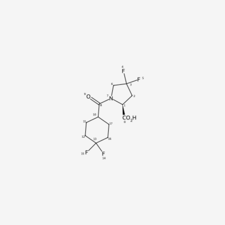 O=C(O)[C@@H]1CC(F)(F)CN1C(=O)C1CCC(F)(F)CC1